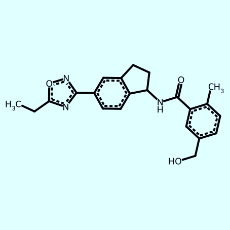 CCc1nc(-c2ccc3c(c2)CCC3NC(=O)c2cc(CO)ccc2C)no1